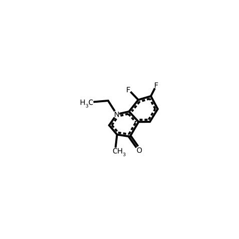 CCn1cc(C)c(=O)c2ccc(F)c(F)c21